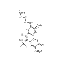 CCOC(=O)C1=CN2C(CC1=O)c1cc(OC)c(OCCCOC)cc1[C@@H](C)[C@H]2C(C)(C)CC